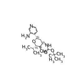 CC(C)[C@@H]1O[C@H](c2ccncc2N)C[C@H](NC(=O)OC(C)(C)C)[C@H]1O